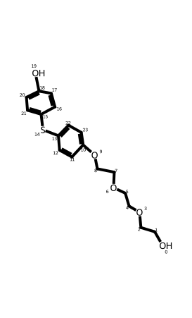 OCCOCCOCCOc1ccc(Sc2ccc(O)cc2)cc1